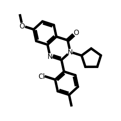 COc1ccc2c(=O)n(C3CCCC3)c(-c3ccc(C)cc3Cl)nc2c1